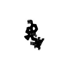 C[C@]12CCC[C@H](O)C1CC=C2C1(C/C=C/C(O)(C(F)(F)F)C(F)(F)F)CC1